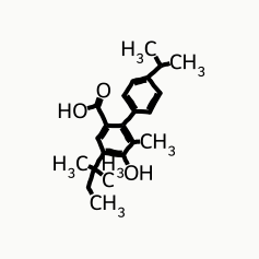 CCC(C)(C)c1cc(C(=O)O)c(-c2ccc(C(C)C)cc2)c(C)c1O